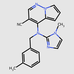 Cc1cccc(CN(c2c(C#N)cnn3cccc23)c2nccn2C)c1